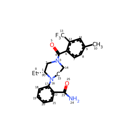 CC[C@@H]1CN(C(=O)c2ccc(C)cc2C(F)(F)F)CCN1c1ccccc1C(N)=O